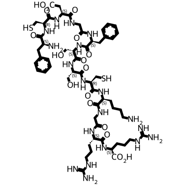 N=C(N)NCCC[C@H](NC(=O)[C@H](CCCNC(=N)N)NC(=O)CNC(=O)[C@H](CCCCN)NC(=O)[C@H](CS)NC(=O)[C@H](CO)NC(=O)[C@H](CO)NC(=O)[C@H](Cc1ccccc1)NC(=O)CNC(=O)[C@H](CC(=O)O)NC(=O)[C@H](CS)NC(=O)[C@@H](N)Cc1ccccc1)C(=O)O